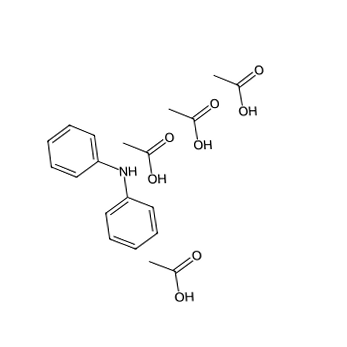 CC(=O)O.CC(=O)O.CC(=O)O.CC(=O)O.c1ccc(Nc2ccccc2)cc1